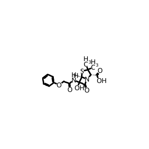 CC1(C)S[C@H]2N(C(=O)C2(O)NC(=O)COc2ccccc2)[C@H]1C(=O)O